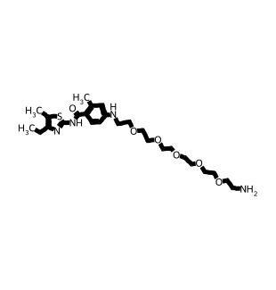 CCc1nc(NC(=O)c2ccc(NCCOCCOCCOCCOCCOCCN)cc2C)sc1C